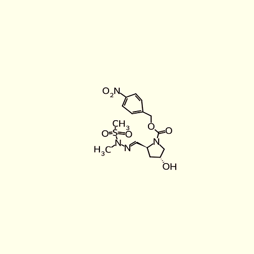 CN(/N=C/[C@@H]1C[C@@H](O)CN1C(=O)OCc1ccc([N+](=O)[O-])cc1)S(C)(=O)=O